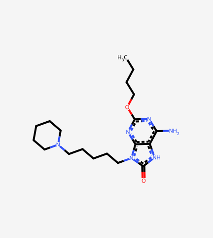 CCCCOc1nc(N)c2[nH]c(=O)n(CCCCCN3CCCCC3)c2n1